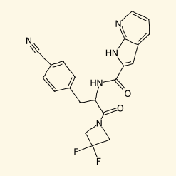 N#Cc1ccc(CC(NC(=O)c2cc3cccnc3[nH]2)C(=O)N2CC(F)(F)C2)cc1